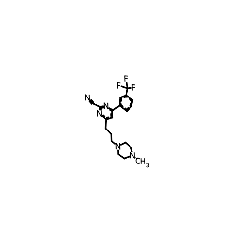 CN1CCN(CCCc2cc(-c3cccc(C(F)(F)F)c3)nc(C#N)n2)CC1